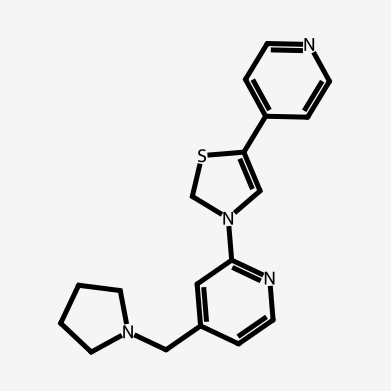 C1=C(c2ccncc2)SCN1c1cc(CN2CCCC2)ccn1